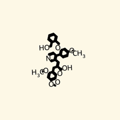 COc1ccc(-c2ccncc2/C=C(\Cc2cc3c(cc2OC)OCO3)C(=O)O)c(OCc2ccccc2CO)c1